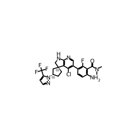 CN(C)C(=O)c1c(N)ccc(-c2cnc3c(c2Cl)[C@@]2(CC[C@H](n4nccc4C(F)(F)F)C2)CN3)c1F